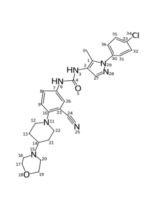 Cc1c(NC(=O)Nc2ccc(N3CCC(N4CCOCC4)CC3)c(C#N)c2)cnn1-c1ccc(Cl)cc1